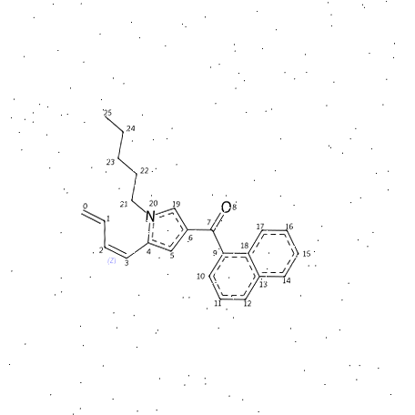 C=C/C=C\c1cc(C(=O)c2cccc3ccccc23)cn1CCCCC